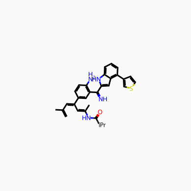 C=C(C)/C=C(\C=C(/C)NC(=O)C(C)C)c1ccc(N)c(C(=N)c2cc3c(-c4ccsc4)cccc3[nH]2)c1